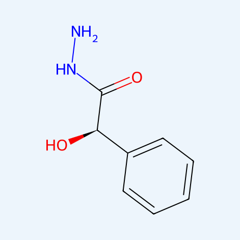 NNC(=O)[C@H](O)c1ccccc1